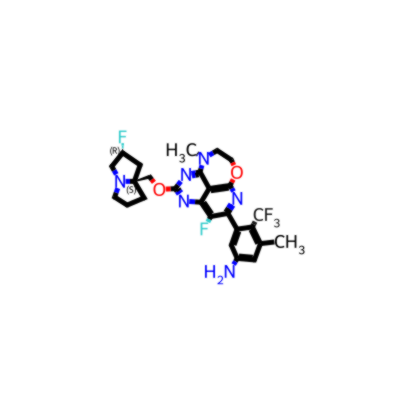 Cc1cc(N)cc(-c2nc3c4c(nc(OC[C@@]56CCCN5C[C@H](F)C6)nc4c2F)N(C)CCO3)c1C(F)(F)F